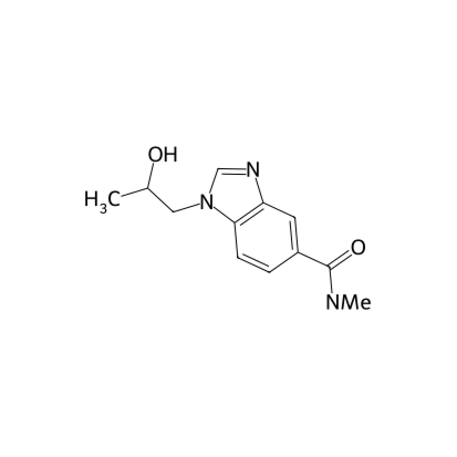 CNC(=O)c1ccc2c(c1)ncn2CC(C)O